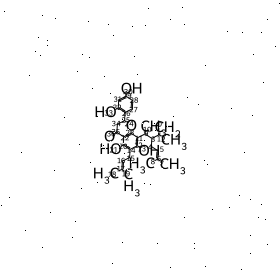 C=C(C)C(CC=C(C)C)C(C)c1c(O)c(CC=C(C)C)c(O)c2c1O[C@H](c1ccc(O)cc1O)CC2=O